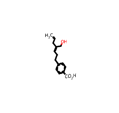 C=CCC(=CCCc1ccc(C(=O)O)cc1)CO